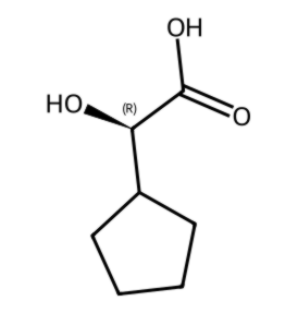 O=C(O)[C@H](O)C1CCCC1